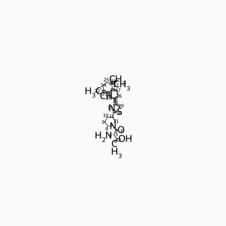 C[C@@H](O)[C@H](N)C(=O)N1CCCC(c2nc(-c3ccc4c(c3)C(C)(C)CCC4(C)C)cs2)C1